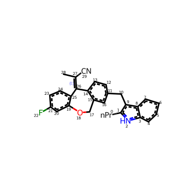 CCCc1[nH]c2ccccc2c1Cc1ccc2c(c1)COc1cc(F)ccc1/C2=C(\C)C#N